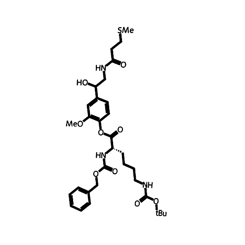 COc1cc(C(O)CNC(=O)CCSC)ccc1OC(=O)[C@H](CCCCNC(=O)OC(C)(C)C)NC(=O)OCc1ccccc1